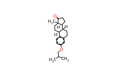 CC(C)COc1ccc2c(c1)CC[C@@H]1[C@@H]2CC[C@]2(C)C(=O)CC[C@@H]12